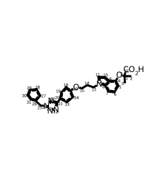 CC(C)(Oc1cccc2c1ccn2CCCOc1ccc(-c2nnn(Cc3ccccc3)n2)cc1)C(=O)O